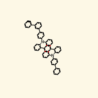 c1cccc(-c2cccc(-c3ccc(N(c4ccccc4)c4ccccc4-c4ccc(-c5ccccc5N(c5ccccc5)c5ccc(-c6ccccc6)cc5)cc4)cc3)c2)c#1